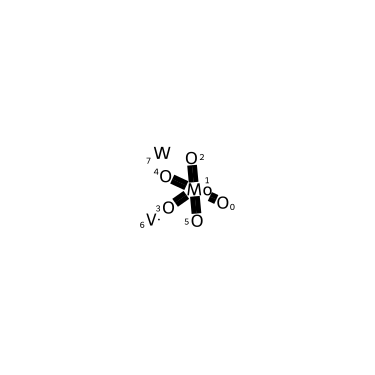 [O]=[Mo](=[O])(=[O])(=[O])=[O].[V].[W]